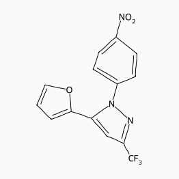 O=[N+]([O-])c1ccc(-n2nc(C(F)(F)F)cc2-c2ccco2)cc1